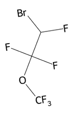 FC(Br)C(F)(F)OC(F)(F)F